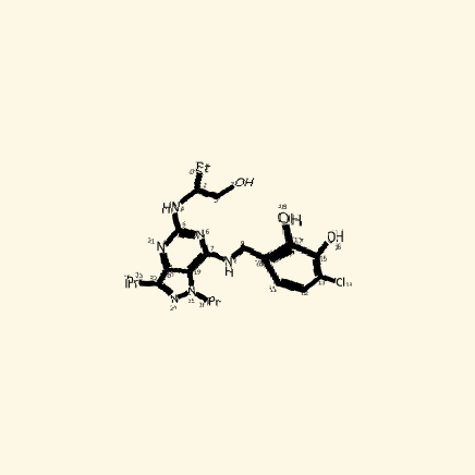 CCC(CO)Nc1nc(NCc2ccc(Cl)c(O)c2O)c2c(n1)c(C(C)C)nn2C(C)C